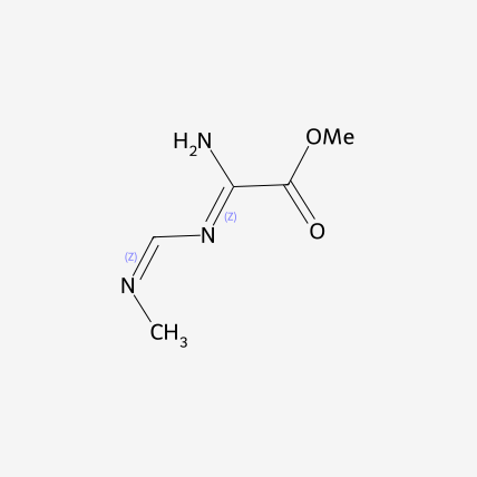 C/N=C\N=C(/N)C(=O)OC